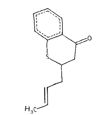 CC=CCC1CC(=O)c2ccccc2S1